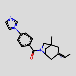 C/C=C1/CC2CC(C)(C1)CN2C(=O)c1ccc(-n2ccnc2)cc1